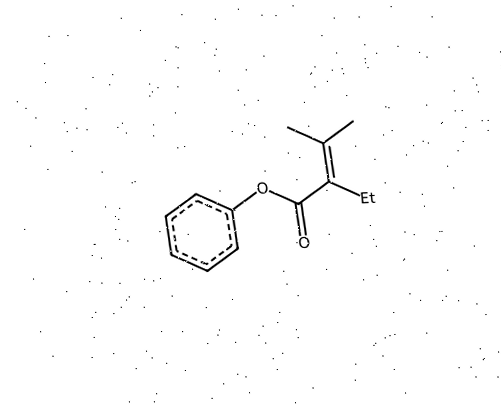 CCC(C(=O)Oc1ccccc1)=C(C)C